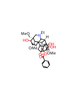 CCN1C[C@]2(COC)[C@H](O)C[C@H](OC)[C@]34C1[C@H]([C@H](OC)[C@H]23)[C@]1(O)[C@H]2[C@@H](OC(=O)c3ccccc3)[C@](O)(C[C@H]24)[C@@H](OC)[C@@H]1O